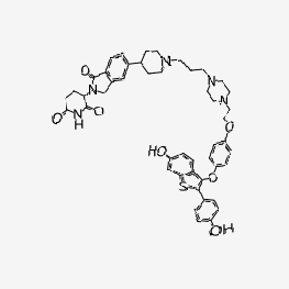 O=C1CCC(N2Cc3cc(C4CCN(CCCN5CCN(CCOc6ccc(Oc7c(-c8ccc(O)cc8)sc8cc(O)ccc78)cc6)CC5)CC4)ccc3C2=O)C(=O)N1